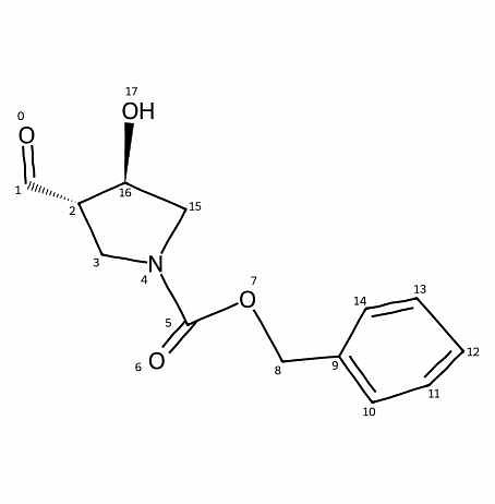 O=C[C@H]1CN(C(=O)OCc2ccccc2)C[C@@H]1O